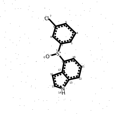 [O-][S+](c1cccc(Cl)c1)c1cccc2[nH]ccc12